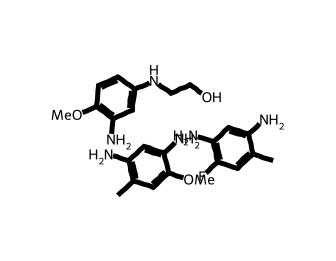 COc1cc(C)c(N)cc1N.COc1ccc(NCCO)cc1N.Cc1cc(F)c(N)cc1N